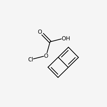 O=C(O)OCl.c1cc2ccc1-2